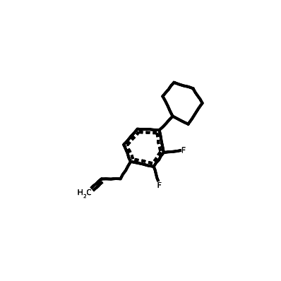 C=CCc1ccc(C2CCCCC2)c(F)c1F